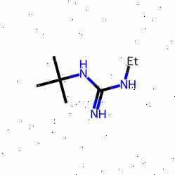 CCNC(=N)NC(C)(C)C